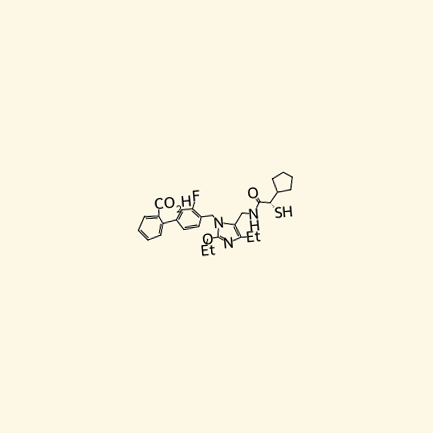 CCOc1nc(CC)c(CNC(=O)[C@@H](S)C2CCCC2)n1Cc1ccc(-c2ccccc2C(=O)O)cc1F